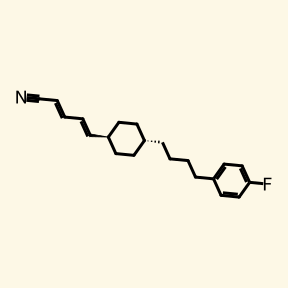 N#C/C=C/C=C/[C@H]1CC[C@H](CCCCc2ccc(F)cc2)CC1